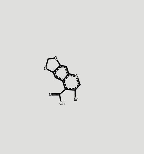 O=C(O)c1c(Br)cnc2cc3c(cc12)OCO3